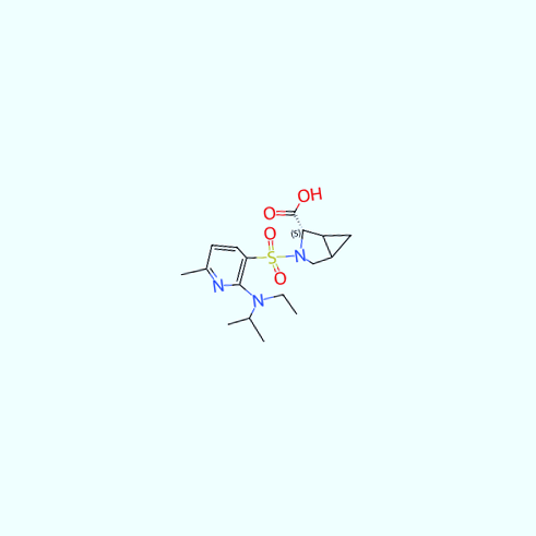 CCN(c1nc(C)ccc1S(=O)(=O)N1CC2CC2[C@H]1C(=O)O)C(C)C